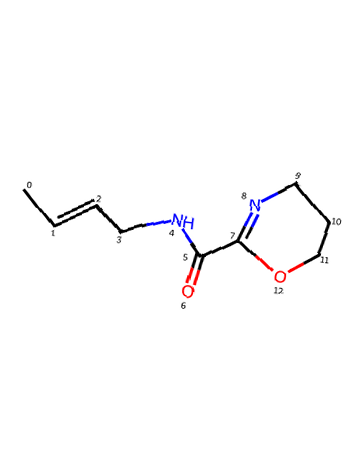 C/C=C/CNC(=O)C1=NCCCO1